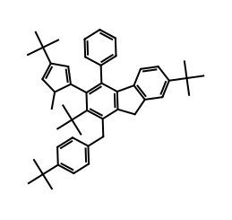 CC1C=C(C(C)(C)C)C=C1c1c(-c2ccccc2)c2c(c(Cc3ccc(C(C)(C)C)cc3)c1C(C)(C)C)Cc1cc(C(C)(C)C)ccc1-2